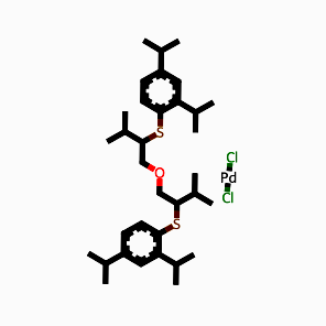 CC(C)c1ccc(SC(COCC(Sc2ccc(C(C)C)cc2C(C)C)C(C)C)C(C)C)c(C(C)C)c1.[Cl][Pd][Cl]